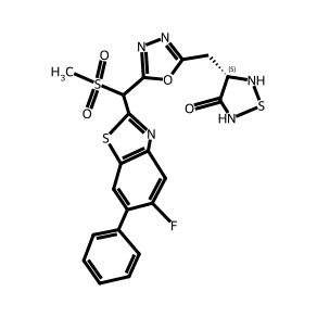 CS(=O)(=O)C(c1nnc(C[C@@H]2NSNC2=O)o1)c1nc2cc(F)c(-c3ccccc3)cc2s1